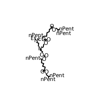 CCCCCC(CCCCC)COC(=O)CCCCC(CCCCC)OC(=O)OCCN(CCCN(CC)CC)CCOC(=O)OC(CCCCC)CCCCC(=O)OCC(CCCCC)CCCCC